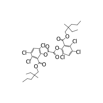 CCCC(C)(CC)COC(=O)c1c(Cl)c(Cl)cc(Cl)c1OC(=O)C(=O)Oc1c(Cl)cc(Cl)c(Cl)c1C(=O)OCC(C)(CC)CCC